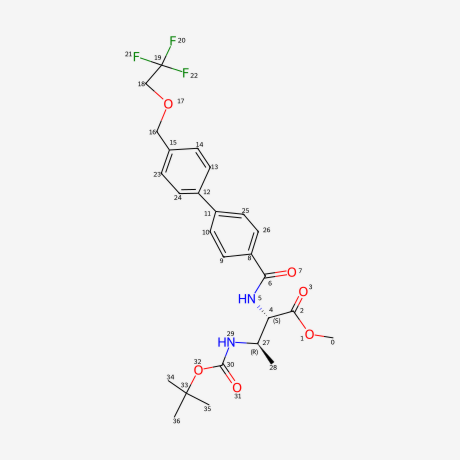 COC(=O)[C@@H](NC(=O)c1ccc(-c2ccc(COCC(F)(F)F)cc2)cc1)[C@@H](C)NC(=O)OC(C)(C)C